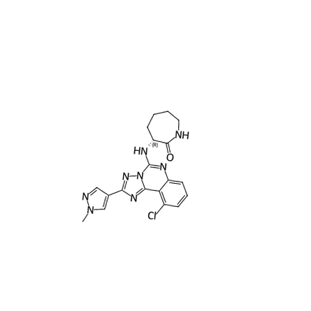 Cn1cc(-c2nc3c4c(Cl)cccc4nc(N[C@@H]4CCCCNC4=O)n3n2)cn1